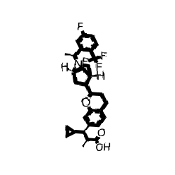 C[C@H](C(=O)O)[C@H](c1ccc2c(c1)OC(C1C[C@@H]3C[C@@H]1CN3[C@@H](C)c1cc(F)ccc1C(F)(F)F)CC2)C1CC1